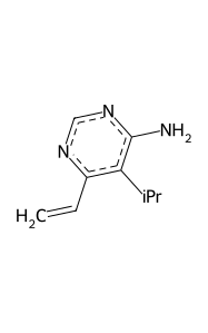 C=Cc1ncnc(N)c1C(C)C